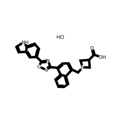 Cl.O=C(O)C1CN(Cc2ccc(-c3noc(-c4ccc5[nH]ccc5c4)n3)c3ccccc23)C1